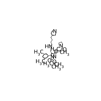 Cc1cc(C)cc(-c2c(CCNCCCCc3ccncc3)c(OCC(C)(C)C(=O)N3CCCC3)nn2C(=O)OC(C)(C)C)c1